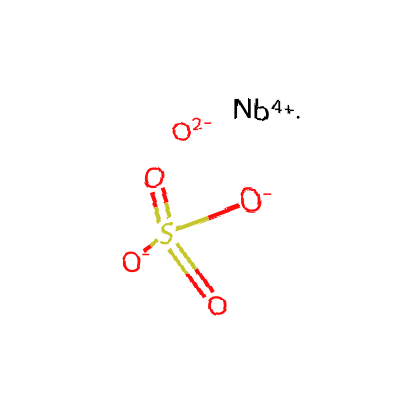 O=S(=O)([O-])[O-].[Nb+4].[O-2]